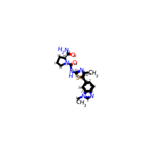 CCn1cnc2ccc(-c3sc(NC(=O)N4CCC[C@H]4C(N)=O)nc3C)cc21